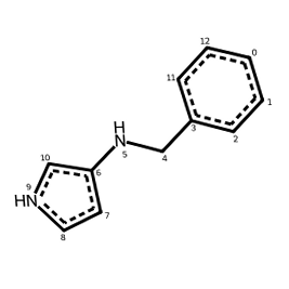 c1ccc(CNc2cc[nH]c2)cc1